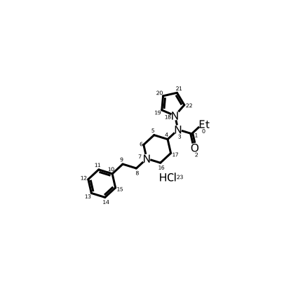 CCC(=O)N(C1CCN(CCc2ccccc2)CC1)n1cccc1.Cl